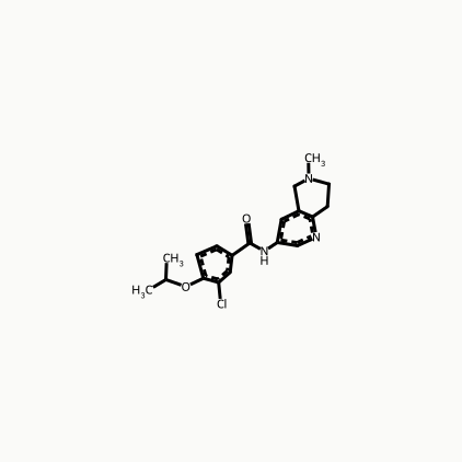 CC(C)Oc1ccc(C(=O)Nc2cnc3c(c2)CN(C)CC3)cc1Cl